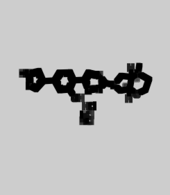 CN1CCO[C@@H]2CN(c3ncc(-c4ccc(-c5cn[nH]c5)cc4O)nn3)C[C@@H]21.Cl.Cl.Cl